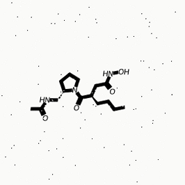 CCCC[C@H](CC(=O)NO)C(=O)N1CCC[C@H]1CNC(C)=O